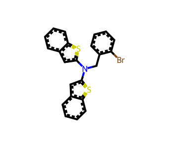 Brc1ccccc1CN(c1cc2ccccc2s1)c1cc2ccccc2s1